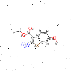 CCOC(=O)c1c(N)sc2cc(OC)ccc12